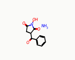 N.O=C(c1ccccc1)C1CC(=O)N(O)C1=O